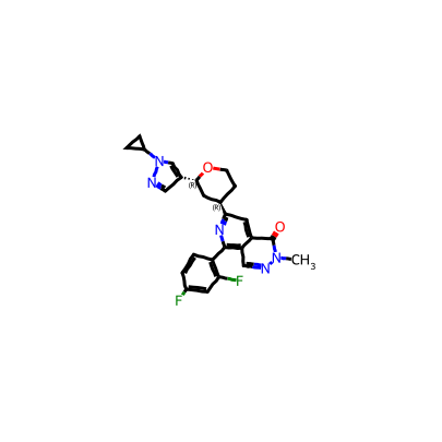 Cn1ncc2c(-c3ccc(F)cc3F)nc([C@@H]3CCO[C@@H](c4cnn(C5CC5)c4)C3)cc2c1=O